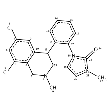 CN1Cc2c(Cl)cc(Cl)cc2C(c2ccccc2-n2ccn(C)c2=O)C1